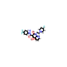 O=C(NC1CCC(F)(F)CC1)c1c(O)c2cccnc2n(CCN2CCC(F)CC2)c1=O